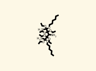 CCCCCCOC([SiH3])(OCC)C(OCC)(OCC)C(N)C(OCC)(OCC)C([SiH3])(OCC)OCCCCCC